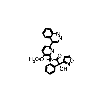 COc1ccc(-c2cnnc3ccccc23)nc1NC(=O)[C@](O)(c1ccccc1)c1ccon1